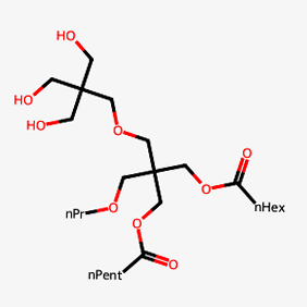 CCCCCCC(=O)OCC(COCCC)(COCC(CO)(CO)CO)COC(=O)CCCCC